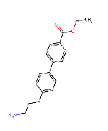 CCOC(=O)c1ccc(-c2ccc(CCCN)cc2)cc1